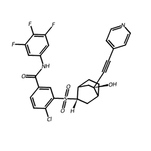 O=C(Nc1cc(F)c(F)c(F)c1)c1ccc(Cl)c(S(=O)(=O)[C@H]2CC3CCC2C[C@]3(O)C#Cc2ccncc2)c1